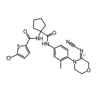 Cc1cc(NC(=O)C2(NC(=O)c3ccc(Cl)s3)CCCC2)ccc1N1CCOC/C1=N/C#N